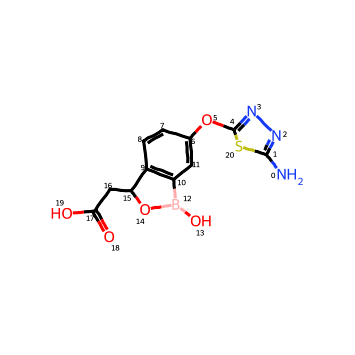 Nc1nnc(Oc2ccc3c(c2)B(O)OC3CC(=O)O)s1